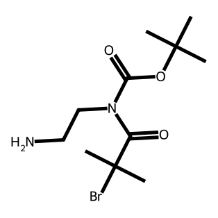 CC(C)(C)OC(=O)N(CCN)C(=O)C(C)(C)Br